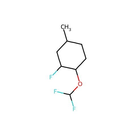 CC1CCC(OC(F)F)C(F)C1